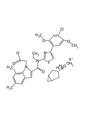 C1CC2CC2C1.CCN(C(=O)c1cc2cc(C)cc(C)c2n1CC(=O)[O-])c1nc(-c2cc(OC)c(Cl)cc2OC)cs1.O.O.O.[K+]